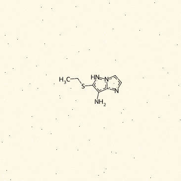 CCSc1[nH]n2ccnc2c1N